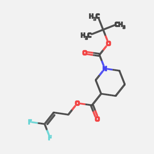 CC(C)(C)OC(=O)N1CCCC(C(=O)OCC=C(F)F)C1